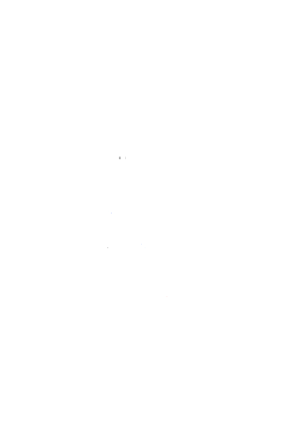 CC(C)C[C@@H](NC(=O)C1(C(=O)N[C@H](CC(C)C)C(O)(c2ccccc2)c2ccccc2)CCCC1)C(O)(c1ccccc1)c1ccccc1